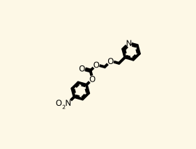 O=C(OCOCc1cccnc1)Oc1ccc([N+](=O)[O-])cc1